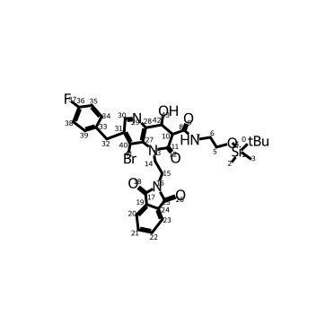 CC(C)(C)[Si](C)(C)OCCNC(=O)C1C(=O)N(CCN2C(=O)c3ccccc3C2=O)c2c(ncc(Cc3ccc(F)cc3)c2Br)C1O